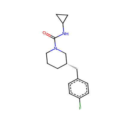 O=C(NC1CC1)N1CCC[C@@H](Cc2ccc(F)cc2)C1